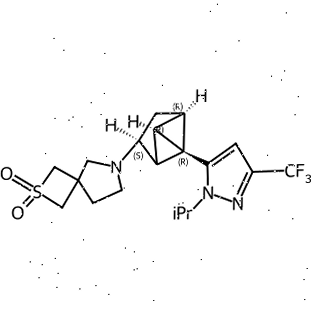 CC(C)n1nc(C(F)(F)F)cc1[C@]12C3[C@@H](N4CCC5(C4)CS(=O)(=O)C5)C[C@@H]1[C@H]32